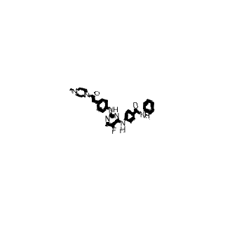 CN1CCN(C(=O)Cc2ccc(Nc3ncc(F)c(Nc4ccc(C(=O)Nc5ccccc5)cc4)n3)cc2)CC1